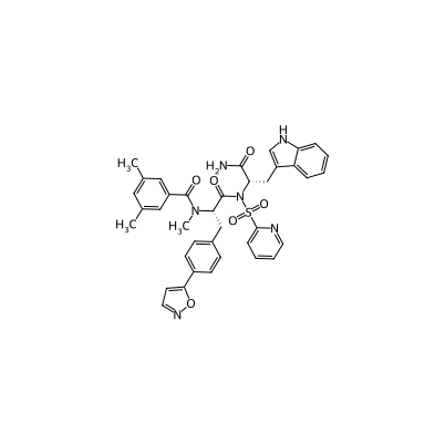 Cc1cc(C)cc(C(=O)N(C)[C@@H](Cc2ccc(-c3ccno3)cc2)C(=O)N([C@@H](Cc2c[nH]c3ccccc23)C(N)=O)S(=O)(=O)c2ccccn2)c1